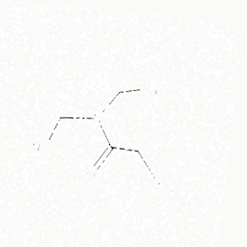 N#CCN(CC#N)C(=O)CN